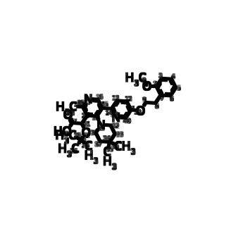 COc1ccccc1CCOc1ccc(-c2cnc(C)c(C(OC(C)(C)C)C(=O)O)c2N2CCC(C)(C)CC2)nc1